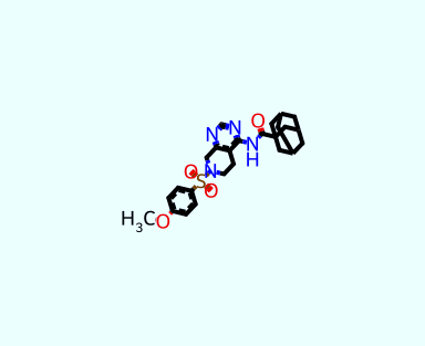 COc1ccc(S(=O)(=O)N2CCc3c(ncnc3NC(=O)C34CC5CC(CC(C5)C3)C4)C2)cc1